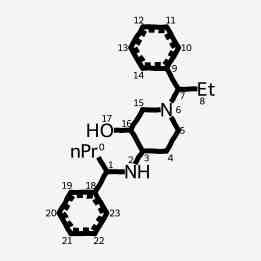 CCCC(NC1CCN(C(CC)c2ccccc2)CC1O)c1ccccc1